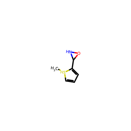 C[SH]1C=CC=C1C1NO1